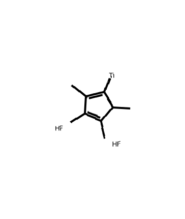 CC1=C(C)C(C)[C]([Ti])=C1C.F.F